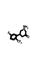 NN1CC(=O)CC(c2cc(F)ccc2C(F)(F)F)C1